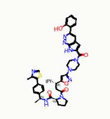 Cc1ncsc1-c1ccc([C@H](C)NC(=O)[C@@H]2CCCN2C(=O)C[C@@H](c2cc(N3CCN(C(=O)c4cc5cc(-c6ccccc6O)nnc5[nH]4)CC3)no2)C(C)C)cc1